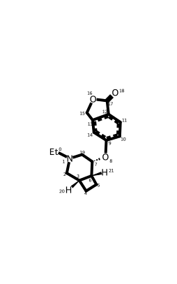 CCN1C[C@H]2CC[C@H]2[C@@H](Oc2ccc3c(c2)COC3=O)C1